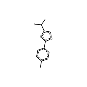 Cc1ccc(-c2nc(C(C)I)co2)cc1